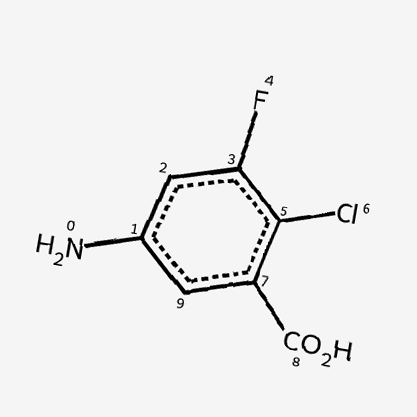 Nc1cc(F)c(Cl)c(C(=O)O)c1